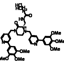 COc1cc(-c2cc(CN3CCN(Cc4ccnc(-c5cc(OC)c(OC)c(OC)c5)c4)[C@@H](CNC(N)=O)C3=O)ccn2)cc(OC)c1OC.Cl.Cl